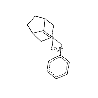 CCOC(=O)C=C1C2CCC1CN(Cc1ccccc1)C2